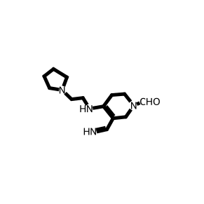 N=CC1=C(NCCN2CCCC2)CCN(C=O)C1